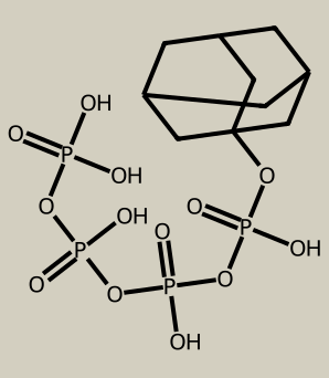 O=P(O)(O)OP(=O)(O)OP(=O)(O)OP(=O)(O)OC12CC3CC(CC(C3)C1)C2